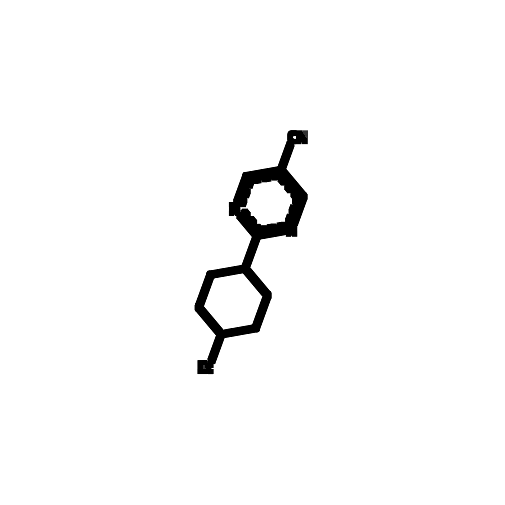 CCC1CCC(c2ncc(C#N)cn2)CC1